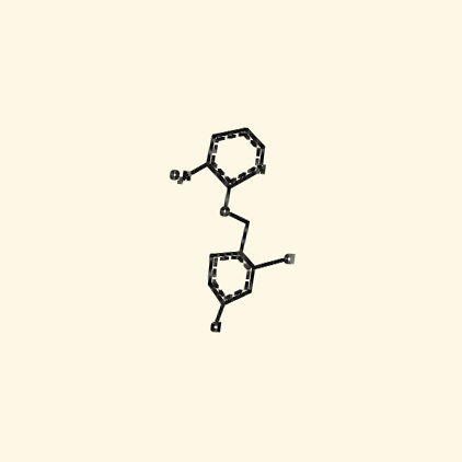 O=[N+]([O-])c1cccnc1OCc1ccc(Cl)cc1Cl